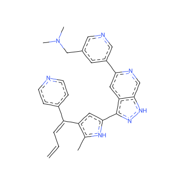 C=C/C=C(/c1ccncc1)c1cc(-c2n[nH]c3cnc(-c4cncc(CN(C)C)c4)cc23)[nH]c1C